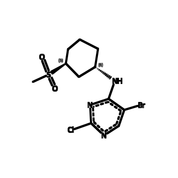 CS(=O)(=O)[C@H]1CCC[C@H](Nc2nc(Cl)ncc2Br)C1